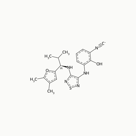 [C-]#[N+]c1cccc(Nc2nsnc2N[C@@H](c2cc(C)c(C)o2)C(C)C)c1O